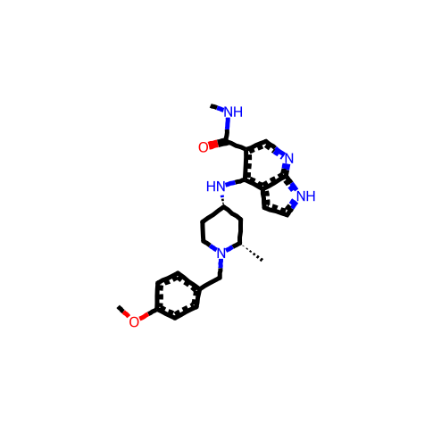 CNC(=O)c1cnc2[nH]ccc2c1N[C@H]1CCN(Cc2ccc(OC)cc2)[C@@H](C)C1